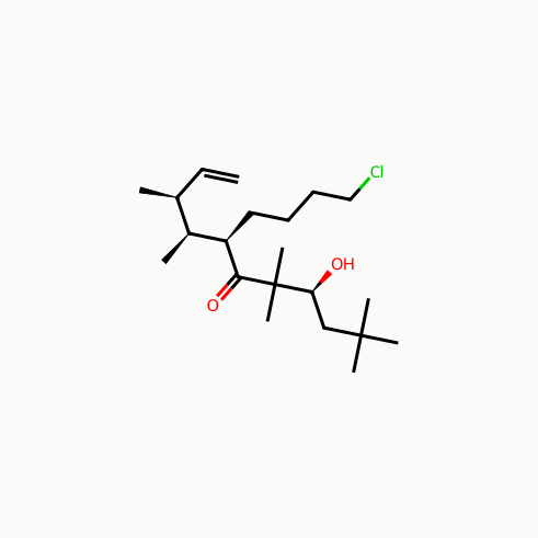 C=C[C@H](C)[C@H](C)[C@@H](CCCCCl)C(=O)C(C)(C)[C@@H](O)CC(C)(C)C